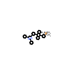 C=P(C)(C)c1cccc(-c2c3ccccc3c(-c3cccc(-c4cc(-c5ccccc5)nc(-c5ccccc5)n4)c3)c3ccccc23)c1